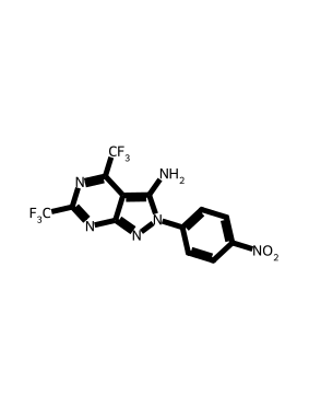 Nc1c2c(C(F)(F)F)nc(C(F)(F)F)nc2nn1-c1ccc([N+](=O)[O-])cc1